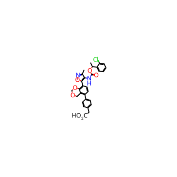 Cc1noc(-c2ccc(-c3ccc(CC(=O)O)cc3)c3c2OCOC3)c1NC(=O)OC(C)c1ccccc1Cl